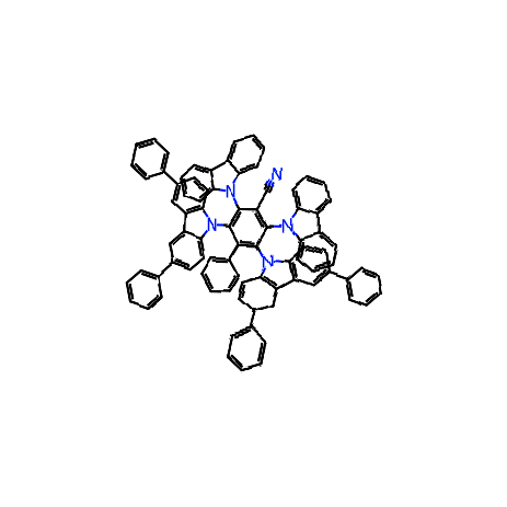 N#Cc1c(-n2c3ccccc3c3ccccc32)c(-n2c3c(c4cc(-c5ccccc5)ccc42)CC(c2ccccc2)C=C3)c(-c2ccccc2)c(-n2c3ccc(-c4ccccc4)cc3c3cc(-c4ccccc4)ccc32)c1-n1c2ccccc2c2ccccc21